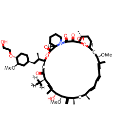 [2H]C([2H])([2H])[C@@H]1/C=C(\C)[C@@H](O)[C@@H](OC)C(=C)[C@H](C)C[C@H](C)/C=C/C=C/C=C(\C)[C@@H](OC)C[C@@H]2CC[C@@H](C)[C@@](O)(O2)C(=O)C(=O)N2CCCC[C@H]2C(=O)O[C@H]([C@H](C)C[C@@H]2CC[C@@H](OCCO)[C@H](OC)C2)CC1=O